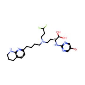 OC(O)[C@H](CCN(CCCCc1ccc2c(n1)NCCC2)CCC(F)F)Nc1ncc(Br)cn1